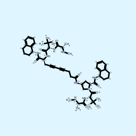 CN[C@@H](C)C(=O)N[C@H](C(=O)N[C@@H](CC#CC#CCCC(=O)N[C@H]1C[C@@H](C(=O)N[C@@H]2CCCc3ccccc32)N(C(=O)[C@@H](NC(=O)[C@H](C)NC)C(C)(C)C)C1)C(=O)N[C@@H]1CCCc2ccccc21)C(C)(C)C